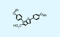 CC(C)Oc1ccc(-c2cc3cc(C(=O)O)n(-c4ccc(OC(C)C)cc4)c3s2)cc1